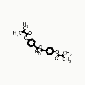 C=C(C)C(=O)Oc1ccc(-c2nnc(-c3ccc(OC(=O)C(=C)C)cc3)o2)cc1